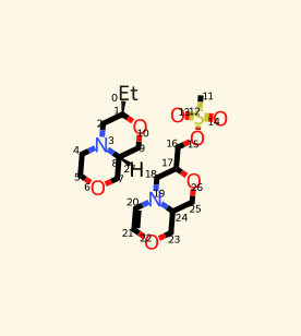 CC[C@@H]1CN2CCOC[C@H]2CO1.CS(=O)(=O)OCC1CN2C=COCC2CO1